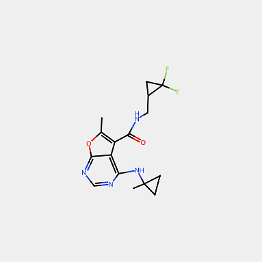 Cc1oc2ncnc(NC3(C)CC3)c2c1C(=O)NCC1CC1(F)F